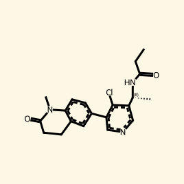 CCC(=O)N[C@H](C)c1cncc(-c2ccc3c(c2)CCC(=O)N3C)c1Cl